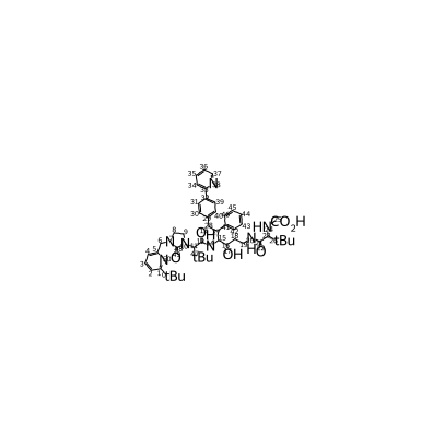 CC(C)(C)c1cccc(CN2CCN(C(C(=O)NC(C(O)CCNC(=O)C(NC(=O)O)C(C)(C)C)C(Cc3ccc(-c4ccccn4)cc3)c3ccccc3)C(C)(C)C)C2=O)n1